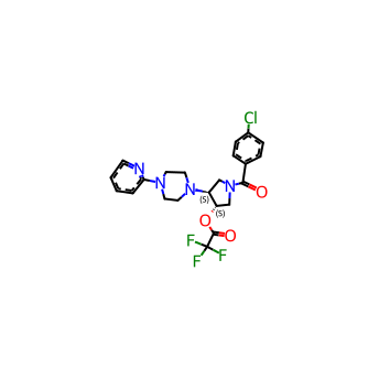 O=C(c1ccc(Cl)cc1)N1C[C@H](OC(=O)C(F)(F)F)[C@@H](N2CCN(c3ccccn3)CC2)C1